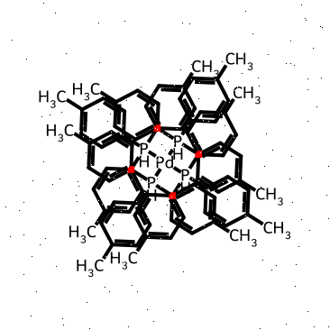 Cc1ccc([PH](c2ccc(C)cc2)(c2ccc(C)cc2)[Pd]([PH](c2ccc(C)cc2)(c2ccc(C)cc2)c2ccc(C)cc2)([PH](c2ccc(C)cc2)(c2ccc(C)cc2)c2ccc(C)cc2)[PH](c2ccc(C)cc2)(c2ccc(C)cc2)c2ccc(C)cc2)cc1